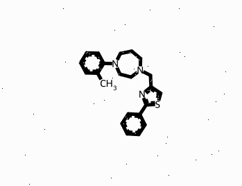 Cc1ccccc1N1CCCN(Cc2csc(-c3ccccc3)n2)CC1